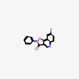 O=c1c2cnc3ccc(F)cc3c2on1-c1ccccc1